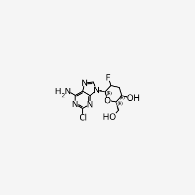 Nc1nc(Cl)nc2c1ncn2[C@@H]1O[C@H](CO)[C@H](O)CC1F